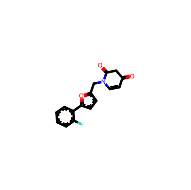 O=C1C=CN(Cc2ccc(-c3ccccc3F)o2)C(=O)C1